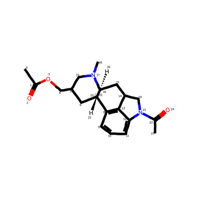 CC(=O)OCC1C[C@H]2c3cccc4c3C(C[C@@H]2N(C)C1)CN4C(C)=O